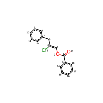 O=C(OC=C(Cl)Cc1ccccc1)c1ccccc1